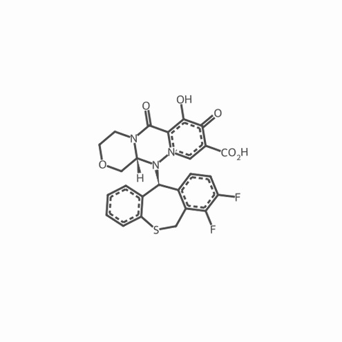 O=C(O)c1cn2c(c(O)c1=O)C(=O)N1CCOC[C@H]1N2[C@@H]1c2ccccc2SCc2c1ccc(F)c2F